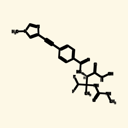 CNC(=O)NC(C)(C(F)F)[C@H](NC(=O)c1ccc(C#Cc2cn(C)cn2)cc1)C(=O)NO